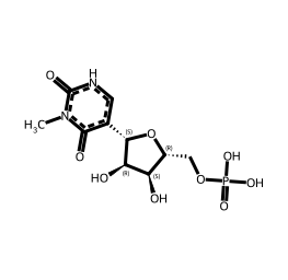 Cn1c(=O)[nH]cc([C@@H]2O[C@H](COP(=O)(O)O)[C@@H](O)[C@H]2O)c1=O